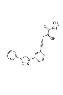 CNC(=O)N(O)CC#Cc1cccc(C2=NOC(c3ccccc3)C2)c1